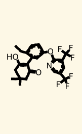 CCc1ccc(Oc2ncc(C(F)(F)F)cc2C(F)(F)F)cc1C1=C(O)CC(C)(C)CC1=O